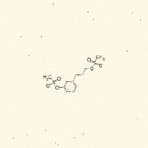 CS(=O)(=O)OCCCc1cccc(OS(C)(=O)=O)c1